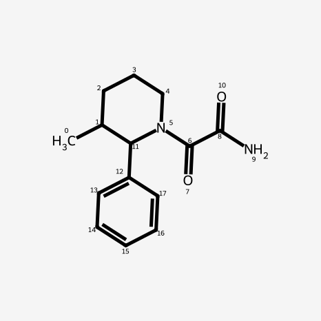 CC1CCCN(C(=O)C(N)=O)C1c1ccccc1